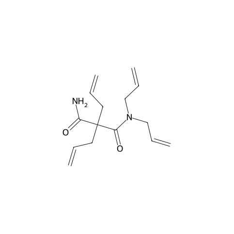 C=CCN(CC=C)C(=O)C(CC=C)(CC=C)C(N)=O